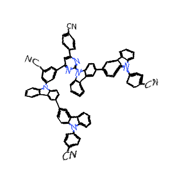 N#Cc1ccc(-c2cc(-c3cc(C#N)cc(-n4c5ccccc5c5cc(-c6ccc7c(c6)c6ccccc6n7-c6ccc(C#N)cc6)ccc54)c3)nc(-n3c4ccccc4c4cc(-c5ccc6c(c5)c5ccccc5n6-c5ccc(C#N)cc5)ccc43)n2)cc1